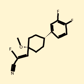 CO[C@]1(C=C(F)C#N)CC[C@H](c2ccc(F)c(F)c2)CC1